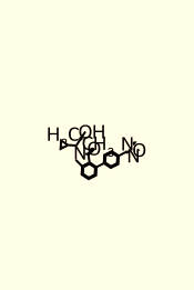 CC(C)(O)C(C1CC1)N1Cc2cccc(-c3ccc(-c4ncon4)cc3)c2C1=O